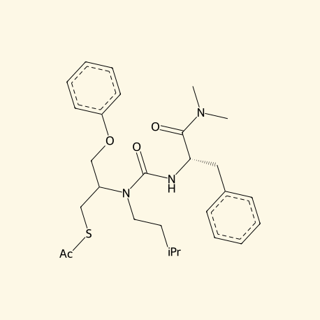 CC(=O)SCC(COc1ccccc1)N(CCC(C)C)C(=O)N[C@@H](Cc1ccccc1)C(=O)N(C)C